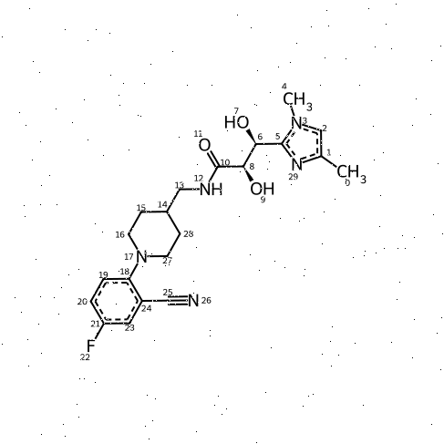 Cc1cn(C)c([C@H](O)[C@@H](O)C(=O)NCC2CCN(c3ccc(F)cc3C#N)CC2)n1